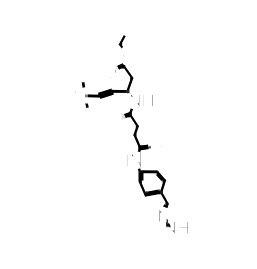 CCOC(=O)CC(C#C[Si](C)(C)C)NC(=O)CCC(=O)Nc1ccc(C=NN)cc1